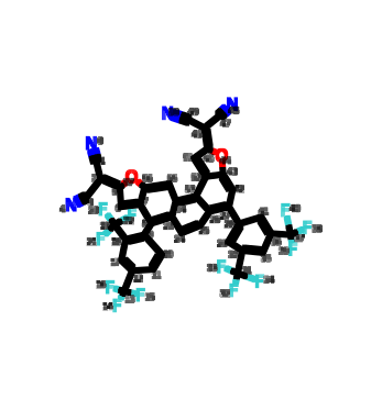 N#CC(C#N)=c1cc2c(-c3ccc(C(F)(F)F)cc3C(F)(F)F)c3ccc4c(-c5cc(C(F)(F)F)cc(C(F)(F)F)c5)cc5oc(=C(C#N)C#N)cc5c4c3cc2o1